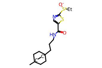 CC[S+]([O-])c1ncc(C(=O)NCCCC23CCC(C)(CC2)CC3)s1